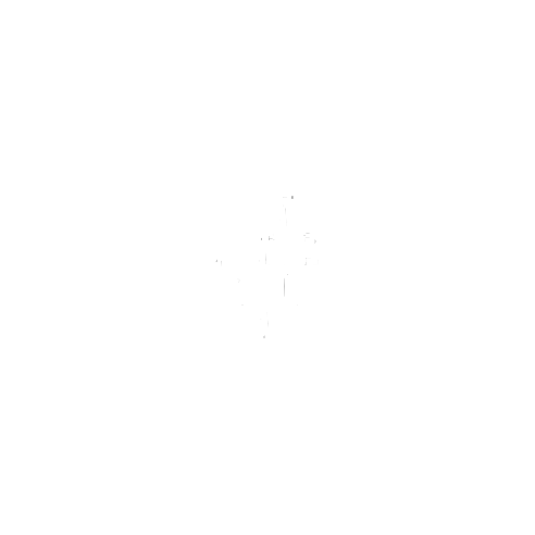 Cc1cc(F)c(OC(F)F)c(F)c1